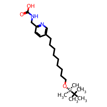 CC(C)(C)[Si](C)(C)OCCCCCCCCCc1ccc(CNC(=O)O)nc1